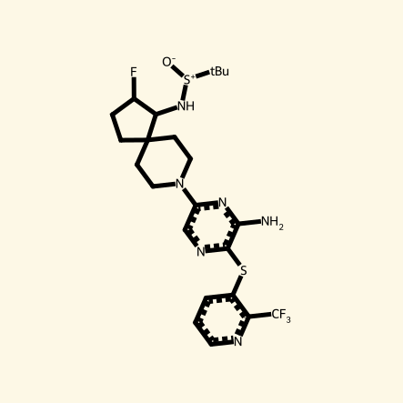 CC(C)(C)[S+]([O-])NC1C(F)CCC12CCN(c1cnc(Sc3cccnc3C(F)(F)F)c(N)n1)CC2